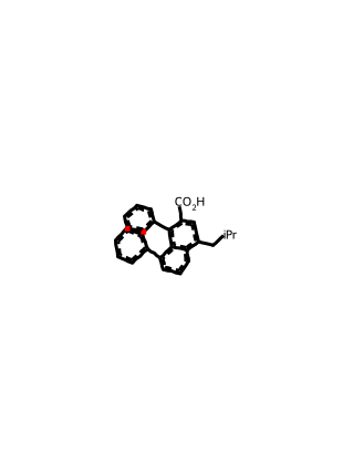 CC(C)Cc1cc(C(=O)O)c(-c2ccccc2)c2c(-c3ccccc3)cccc12